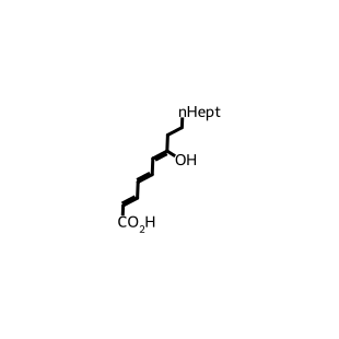 CCCCCCCCCC(O)=CC=CC=CC(=O)O